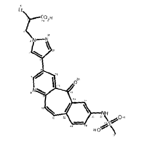 CCC(Cn1cc(-c2cnc3ccc4ccc(NS(C)(=O)=O)cc4c(=O)c3c2)cn1)C(=O)O